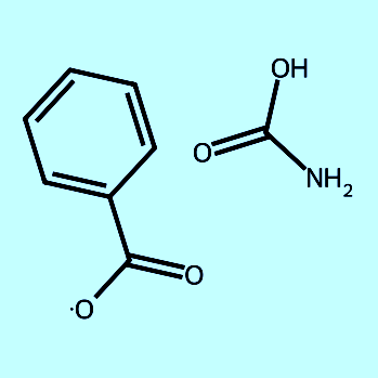 NC(=O)O.[O]C(=O)c1ccccc1